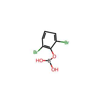 OB(O)Oc1c(Br)cccc1Br